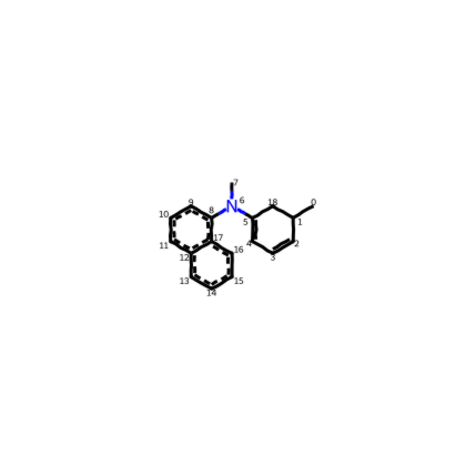 CC1C=CC=C(N(C)c2cccc3ccccc23)C1